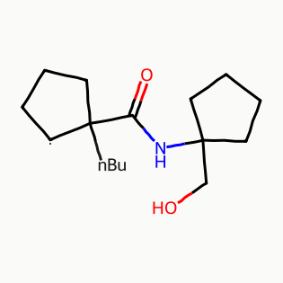 CCCCC1(C(=O)NC2(CO)CCCC2)[CH]CCC1